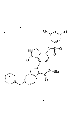 CC(C)(C)OC(=O)n1c(-c2ccc(OS(=O)(=O)c3cc(Cl)cc(Cl)c3)c3c2C(=O)NC3)cc2cc(CN3CCCCC3)ccc21